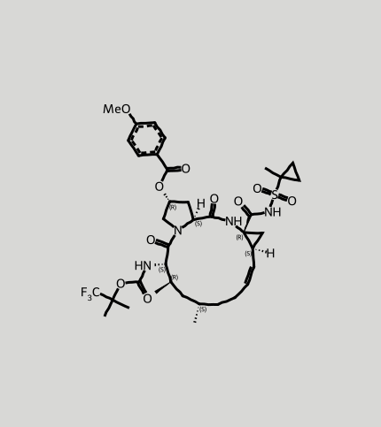 COc1ccc(C(=O)O[C@@H]2C[C@H]3C(=O)N[C@]4(C(=O)NS(=O)(=O)C5(C)CC5)C[C@H]4C=CCC[C@H](C)C[C@@H](C)[C@H](NC(=O)OC(C)(C)C(F)(F)F)C(=O)N3C2)cc1